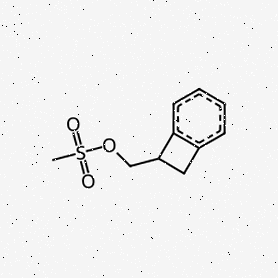 CS(=O)(=O)OCC1Cc2ccccc21